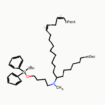 CCCCC/C=C\C/C=C\CCCCCCCCC(CCCCCCCCCCCCCCCC)N(C)CCCCO[Si](c1ccccc1)(c1ccccc1)C(C)(C)C